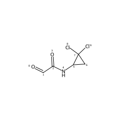 O=CC(=O)NC1CC1(Cl)Cl